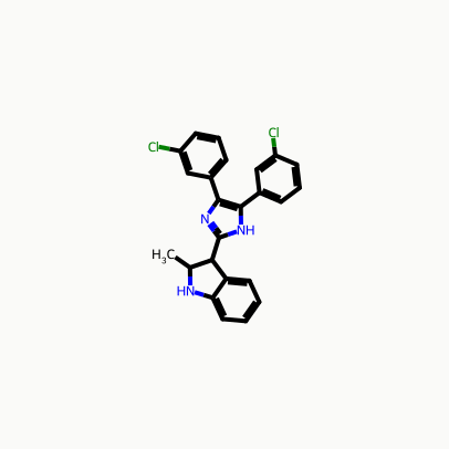 CC1Nc2ccccc2C1c1nc(-c2cccc(Cl)c2)c(-c2cccc(Cl)c2)[nH]1